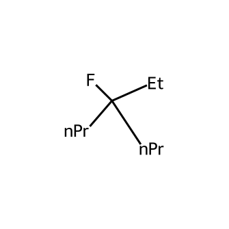 CCCC(F)(CC)CCC